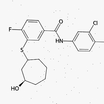 O=C(Nc1ccc(F)c(Cl)c1)c1ccc(F)c(SC2CCCC[C@@H](O)C2)c1